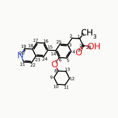 CC(Cc1ccc(OC2CCCCC2)c(-c2ccc3cnccc3c2)c1)C(=O)O